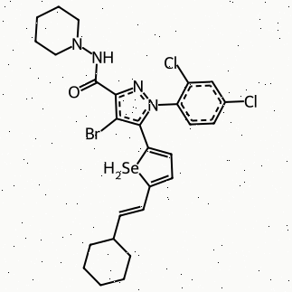 O=C(NN1CCCCC1)c1nn(-c2ccc(Cl)cc2Cl)c(C2=CC=C(C=CC3CCCCC3)[SeH2]2)c1Br